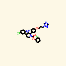 O=C(Oc1ccccc1Cl)N1CCc2c([nH]c3ccc(Cl)cc23)C1c1ccc(OCCCn2cncn2)cc1